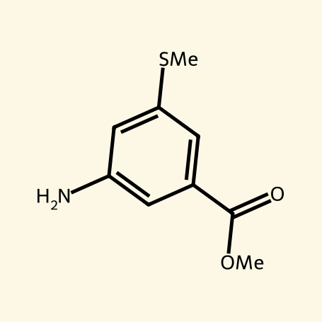 COC(=O)c1cc(N)cc(SC)c1